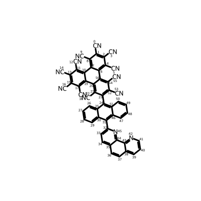 N#Cc1c(C#N)c(C#N)c2c(c1C#N)c1c(C#N)c(C#N)c(C#N)c(C#N)c1c1c(C#N)c(-c3c4ccccc4c(-c4ccc5ccc6cccnc6c5n4)c4ccccc34)c(C#N)c(C#N)c21